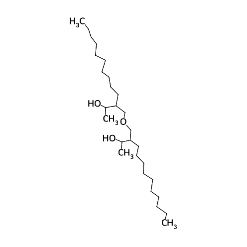 CCCCCCCCCCC(COCC(CCCCCCCCCC)C(C)O)C(C)O